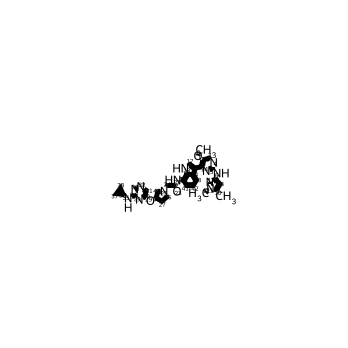 COc1cnc(Nc2cc(C)n(C)n2)nc1-c1c[nH]c2c(NC(=O)CN3CCC(Oc4cnnc(NC5CC5)n4)C3)cccc12